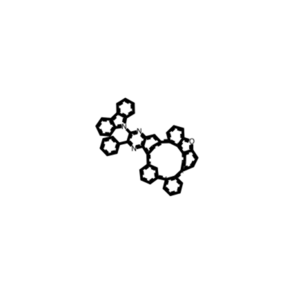 c1ccc(-c2nc3c(cc4cc3c3cccc(c3)c3ccccc3c3ccc5oc6cccc4c6c5c3)nc2-n2c3ccccc3c3ccccc32)cc1